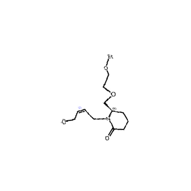 CCOCCOC[C@H]1CCCC(=O)N1C/C=C\C[O]